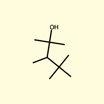 CC(C(C)(C)C)C(C)(C)O